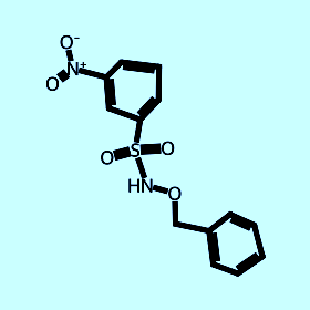 O=[N+]([O-])c1cccc(S(=O)(=O)NOCc2ccccc2)c1